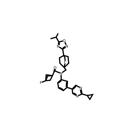 CC(C)c1nc(C23CCC(CN(C(=O)C45CC(F)(C4)C5)c4cccc(-c5cnc(C6CC6)nc5)c4)(CC2)CC3)no1